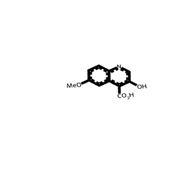 COc1ccc2ncc(O)c(C(=O)O)c2c1